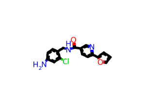 Nc1ccc(CNC(=O)c2ccc(-c3ccco3)nc2)c(Cl)c1